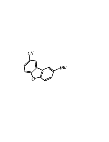 CC(C)(C)c1ccc2oc3ccc(C#N)cc3c2c1